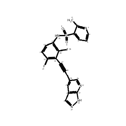 Cc1ncccc1S(=O)(=O)Nc1ccc(F)c(C#Cc2cnc3[nH]ncc3c2)c1F